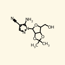 CC1(C)OC2C(CO)OC(n3ncc(C#N)c3N)C2O1